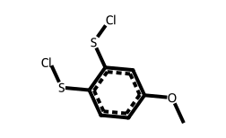 COc1ccc(SCl)c(SCl)c1